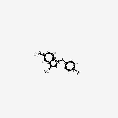 N#Cc1cn(Cc2ccc(Br)cc2)c2ccc([N+](=O)[O-])cc12